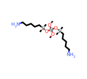 CO[Si](OC)(O[Si](C)(C)CCCCCN)O[Si](C)(C)CCCCCN